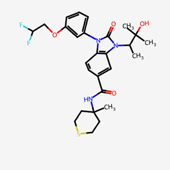 CC(n1c(=O)n(-c2cccc(OCC(F)F)c2)c2ccc(C(=O)NC3(C)CCSCC3)cc21)C(C)(C)O